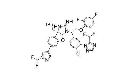 CC(C)(C)C[C@]1(c2ccc(-c3cnn(C(F)F)c3)cc2)NC(=N)N([C@H](COc2ccc(F)cc2F)c2ccc(Cl)c(-n3ncnc3C(F)F)c2)C1=O